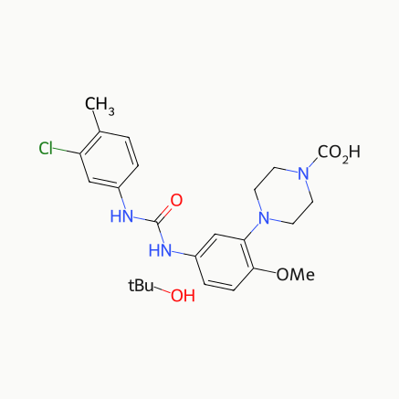 CC(C)(C)O.COc1ccc(NC(=O)Nc2ccc(C)c(Cl)c2)cc1N1CCN(C(=O)O)CC1